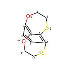 c1cc2c3c(c1OCCS3)OCCS2